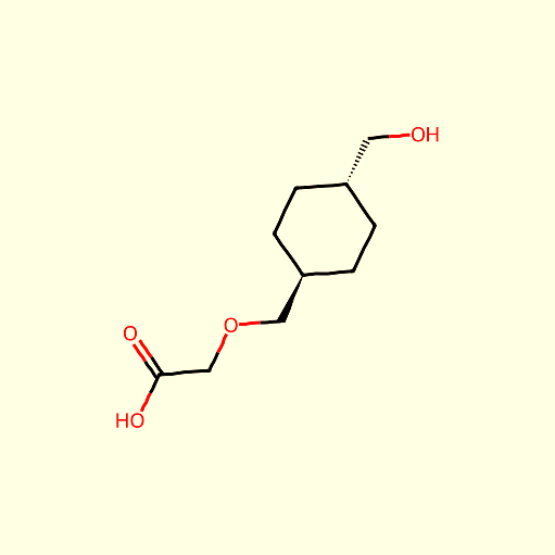 O=C(O)COC[C@H]1CC[C@H](CO)CC1